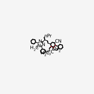 C=C/C=C\C(=C)/C=c1/cccc/c1=C/C(C)c1cc(C#N)cc(/C=C/C(=C\CCC)C(=N/Cc2ccccc2)/N=C(\N=C)c2ccccc2)c1